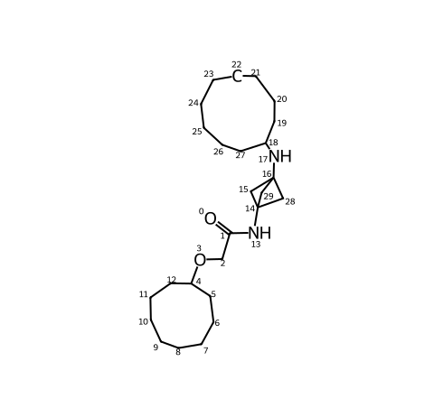 O=C(COC1CCCCCCCC1)NC12CC(NC3CCCCCCCCC3)(C1)C2